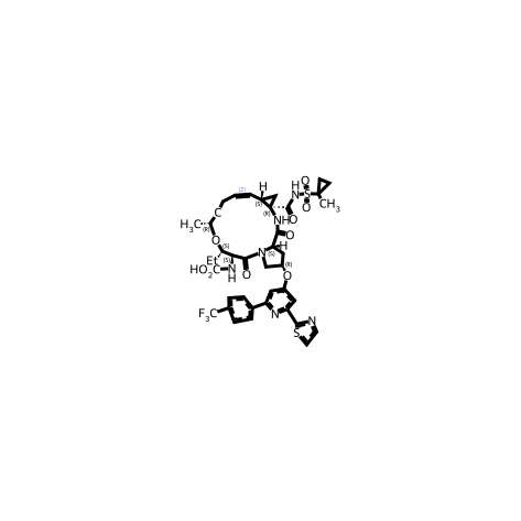 CC[C@@H]1O[C@H](C)CC/C=C\[C@@H]2C[C@@]2(C(=O)NS(=O)(=O)C2(C)CC2)NC(=O)[C@@H]2C[C@@H](Oc3cc(-c4ccc(C(F)(F)F)cc4)nc(-c4nccs4)c3)CN2C(=O)[C@H]1NC(=O)O